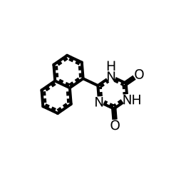 O=c1nc(-c2cccc3ccccc23)[nH]c(=O)[nH]1